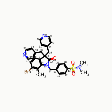 Cc1c(Br)ccc2c1N(Cc1ccc(S(=O)(=O)N(C)C)cc1)C(=O)C2(Cc1ccncc1)Cc1ccncc1